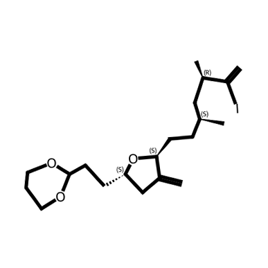 C=C(I)[C@H](C)C[C@@H](C)CC[C@@H]1O[C@@H](CCC2OCCCO2)CC1=C